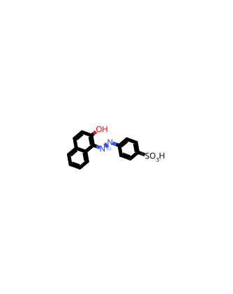 O=S(=O)(O)c1ccc(/N=N/c2c(O)ccc3ccccc23)cc1